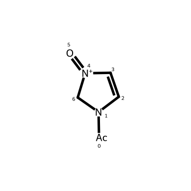 CC(=O)N1C=C[N+](=O)C1